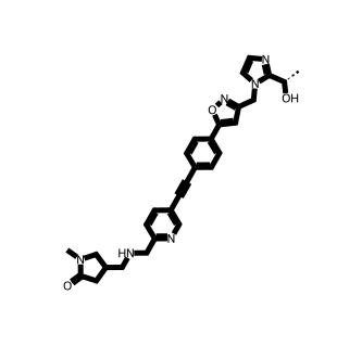 C[C@H](O)c1nccn1Cc1cc(-c2ccc(C#Cc3ccc(CNCC4CC(=O)N(C)C4)nc3)cc2)on1